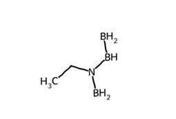 BBN(B)CC